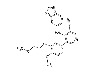 COCCOc1cc(-c2cncc(C#N)c2Nc2ccc3ncsc3c2)ccc1OC